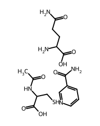 CC(=O)NC(CS)C(=O)O.NC(=O)CCC(N)C(=O)O.NC(=O)c1cccnc1